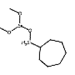 CO[Si](OC)O[SiH2]C1CCCCCC1